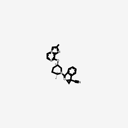 Cc1cn2ccnc(O[C@@H]3CC[C@@H](C)N(C(=O)c4ccccc4C4(C#N)CC4)C3)c2n1